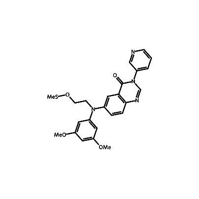 COc1cc(OC)cc(N(CCOSC)c2ccc3ncn(-c4cccnc4)c(=O)c3c2)c1